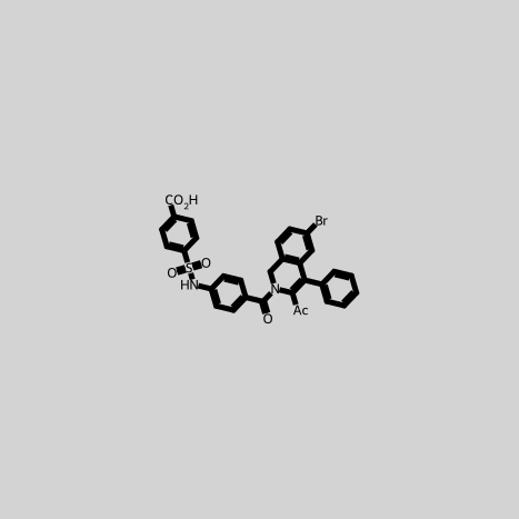 CC(=O)C1=C(c2ccccc2)c2cc(Br)ccc2CN1C(=O)c1ccc(NS(=O)(=O)c2ccc(C(=O)O)cc2)cc1